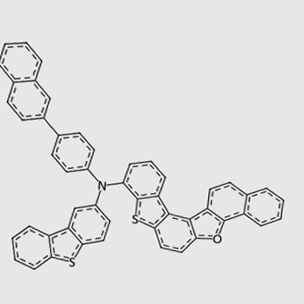 c1ccc2cc(-c3ccc(N(c4ccc5sc6ccccc6c5c4)c4cccc5c4sc4ccc6oc7c8ccccc8ccc7c6c45)cc3)ccc2c1